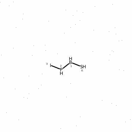 SBPI